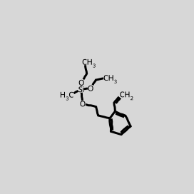 C=Cc1ccccc1CCO[Si](C)(OCC)OCC